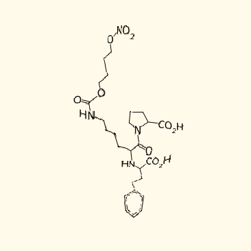 O=C(NCCCCC(NC(CCc1ccccc1)C(=O)O)C(=O)N1CCCC1C(=O)O)OCCCCO[N+](=O)[O-]